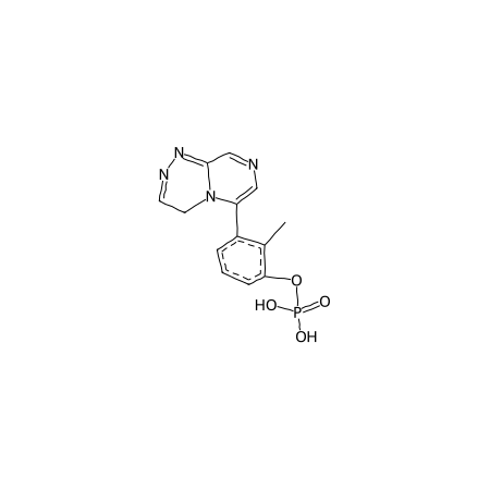 Cc1c(OP(=O)(O)O)cccc1C1=CN=CC2=NN=CCN12